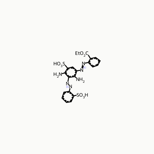 CCOC(=O)c1ccccc1/N=N/c1cc(S(=O)(=O)O)c(N)c(/N=N/c2ccccc2S(=O)(=O)O)c1N